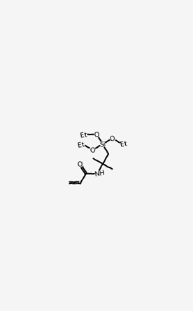 C=CC(=O)NC(C)(C)C[Si](OCC)(OCC)OCC